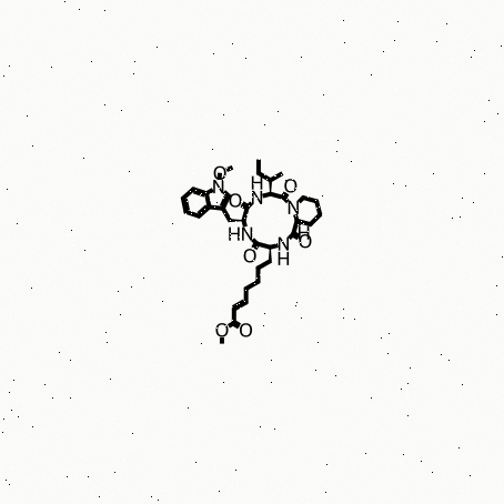 CCC(C)[C@@H]1NC(=O)[C@H](Cc2cn(OC)c3ccccc23)NC(=O)[C@H](CCCC/C=C/C(=O)OC)NC(=O)[C@H]2CCCCN2C1=O